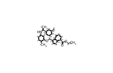 C=C(Nc1ccc(C)c(OCc2csc3c(C(=O)OCC)cncc23)c1)c1cccc(F)c1